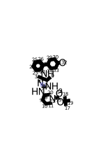 CCC(C)(/N=C(\N)N[C@H]1CCCN(C(=O)OC(C)(C)C)C1)Nc1ccccc1C1CCC(=O)CC1